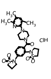 Cc1cc(C)c(N2CCN(C(=O)c3ccc(N4CCCS4(=O)=O)cc3N3CCCS3(=O)=O)CC2)nc1C.Cl